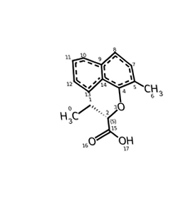 CC[C@H](Oc1c(C)ccc2ccccc12)C(=O)O